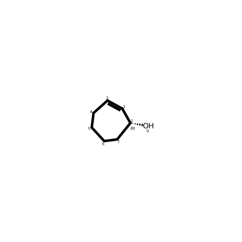 O[C@H]1C=CCCCC1